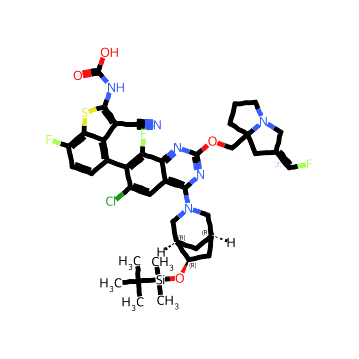 CC(C)(C)[Si](C)(C)O[C@@H]1C[C@H]2C[C@@H]1CN(c1nc(OCC34CCCN3C/C(=C\F)C4)nc3c(F)c(-c4ccc(F)c5sc(NC(=O)O)c(C#N)c45)c(Cl)cc13)C2